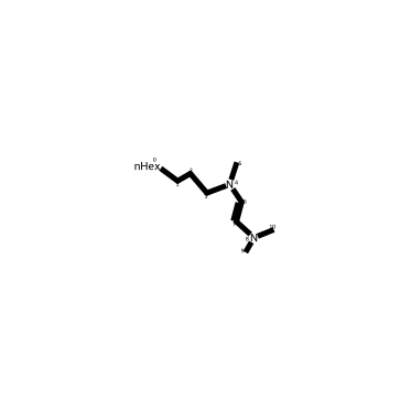 CCCCCCCCCN(C)/C=C/N(C)C